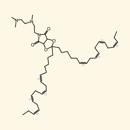 CC/C=C\C/C=C\C/C=C\C/C=C\CCCCCC1(CCCCC/C=C\C/C=C\C/C=C\C/C=C\CC)OC2C(=O)N(CCN(C)CCN(C)C)C(=O)C2O1